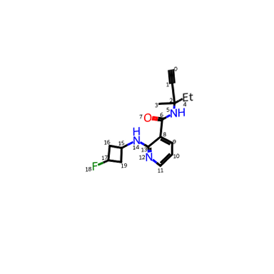 C#CC(C)(CC)NC(=O)c1cccnc1NC1CC(F)C1